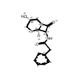 O=C(Cc1ccccc1)N[C@@H]1C(=O)N2C[C@@H](O)CS[C@H]12